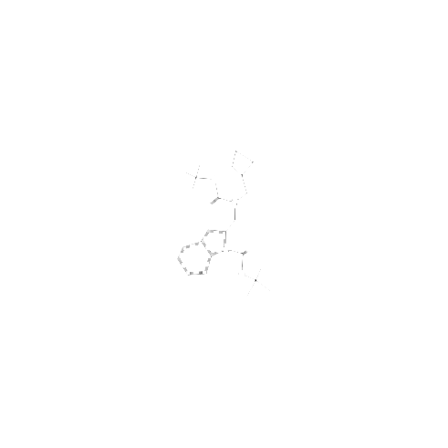 CC(C)(C)OC(=O)N(Cc1cc2ccccc2n1C(=O)OC(C)(C)C)CC1CCC1